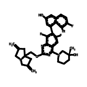 C=C1CN2CC(=C)CC2(COc2nc(N3CCC[C@@](C)(O)C3)c3cc(F)c(-c4cc(O)cc5ccc(F)c(CC)c45)c(F)c3n2)C1